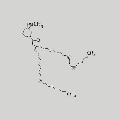 CCCCC/C=C\C/C=C\CCCCCCCCC(CCCCCCCC/C=C\CCCCCCCC)CC(=O)C1CCCC(NC)C1